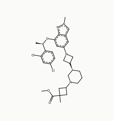 COC(=O)C1(C)CC(N2CCC[C@H](C3CN(c4cc(O[C@H](C)c5ccc(Cl)cc5Cl)c5nn(C)cc5c4)C3)C2)C1